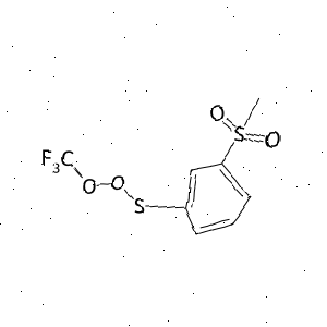 CS(=O)(=O)c1cccc(SOOC(F)(F)F)c1